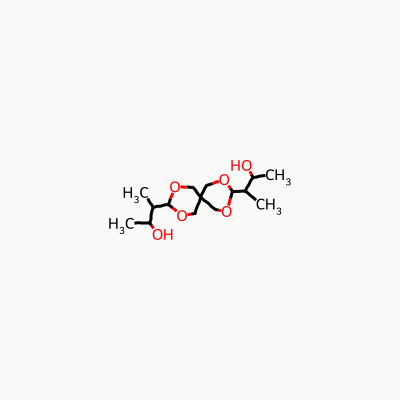 CC(O)C(C)C1OCC2(CO1)COC(C(C)C(C)O)OC2